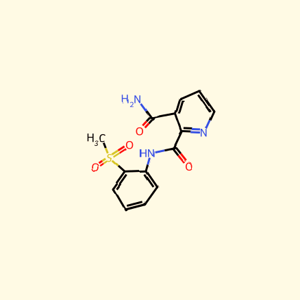 CS(=O)(=O)c1ccccc1NC(=O)c1ncccc1C(N)=O